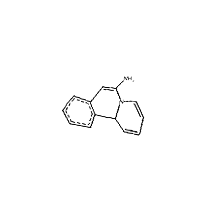 NC1=Cc2ccccc2C2C=CC=CN12